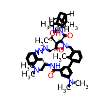 Cc1c(CN2O[C@@H](CN=[N+]=[N-])[C@@H]([C@H](C)O)[C@H]2C(=O)N[C@H]2C[C@H]3C[C@@H]([C@@H]2C)C3(C)C)cccc1-c1cc(C(=O)N[C@@H](Cc2ccccc2)CN(C)C)cc(N(C)C)c1